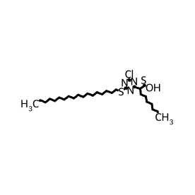 CCCCCCCCCCCCCCCCCCSc1nc(Cl)nc(C(CCCCCCC)C(O)=S)n1